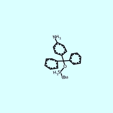 CC(C)(C)[SiH2]OC(c1ccccc1)(c1ccccc1)c1ccc(N)cc1